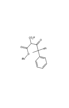 CCCC(C)(C(=O)C(C(=O)O)C(=O)OC(C)CC)c1ccccc1